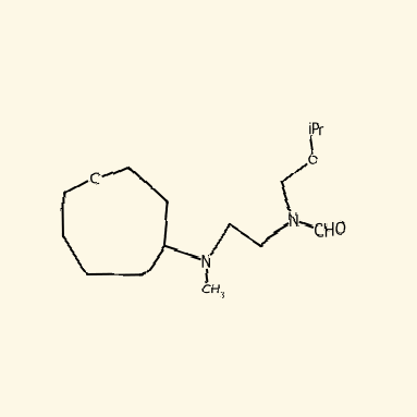 CC(C)OCN(C=O)CCN(C)C1CCCCCCC1